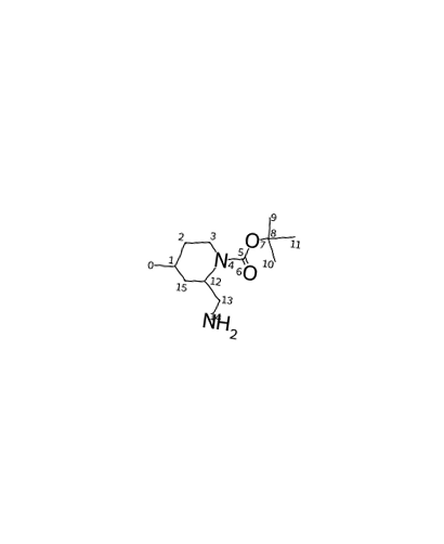 CC1CCN(C(=O)OC(C)(C)C)C(CN)C1